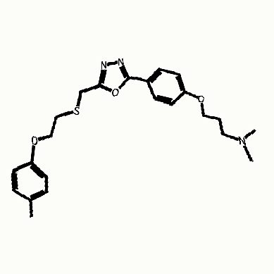 Cc1ccc(OCCSCc2nnc(-c3ccc(OCCCN(C)C)cc3)o2)cc1